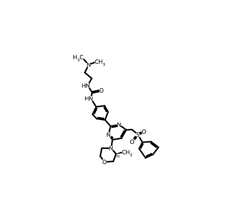 C[C@H]1COCCN1c1cc(CS(=O)(=O)c2ccccc2)nc(-c2ccc(NC(=O)NCCN(C)C)cc2)n1